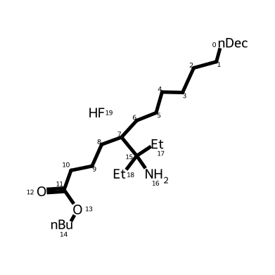 CCCCCCCCCCCCCCCCC(CCCC(=O)OCCCC)C(N)(CC)CC.F